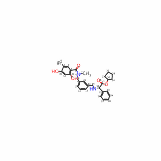 CC(C)c1cc(C(=O)N(C)Cc2cccc(CN[C@H](C(=O)OC3CCCC3)c3ccccc3)c2)c(O)cc1O